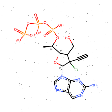 C#CC1(Cl)C(CO)[C@@H]([C@@H](C)OP(=O)(O)OP(=O)(O)OP(=O)(O)O)O[C@H]1n1cnc2cnc(N)nc21